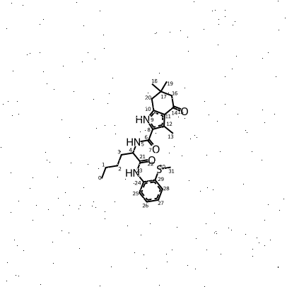 CCCCC(NC(=O)c1[nH]c2c(c1C)C(=O)CC(C)(C)C2)C(=O)Nc1ccccc1SC